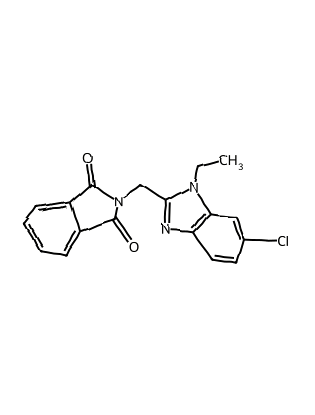 CCn1c(CN2C(=O)c3ccccc3C2=O)nc2ccc(Cl)cc21